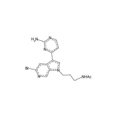 CC(=O)NCCCn1cc(-c2ccnc(N)n2)c2cc(Br)ncc21